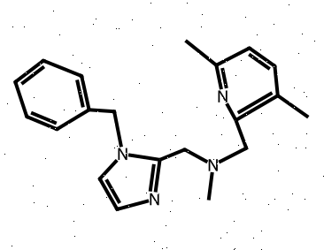 Cc1ccc(C)c(CN(C)Cc2nccn2Cc2ccccc2)n1